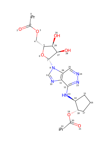 CC(C)C(=O)OC[C@H]1O[C@@H](n2cnc3c(N[C@H]4CCC[C@@H]4OC(=O)C(C)C)nncc32)[C@H](O)[C@@H]1O